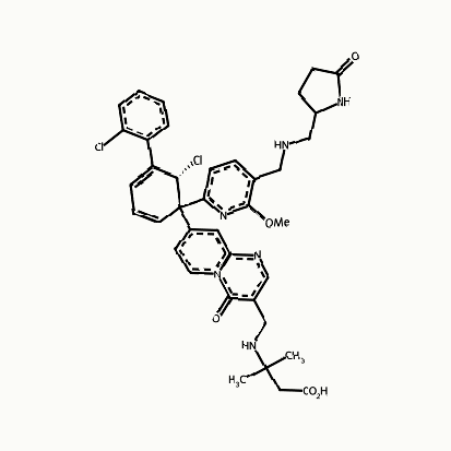 COc1nc(C2(c3ccn4c(=O)c(CNC(C)(C)CC(=O)O)cnc4c3)C=CC=C(c3ccccc3Cl)[C@@H]2Cl)ccc1CNCC1CCC(=O)N1